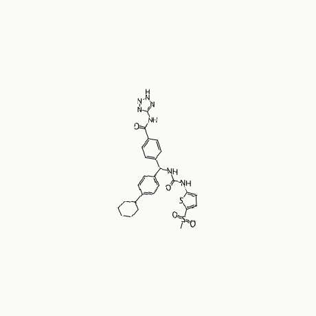 CS(=O)(=O)c1ccc(NC(=O)NC(c2ccc(C(=O)Nc3nn[nH]n3)cc2)c2ccc(C3CCCCC3)cc2)s1